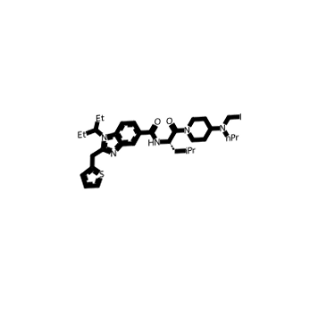 CCCN(CI)C1CCN(C(=O)[C@H](CC(C)C)NC(=O)c2ccc3c(c2)nc(Cc2cccs2)n3C(CC)CC)CC1